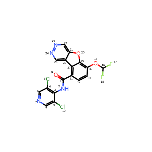 O=C(Nc1c(Cl)cncc1Cl)c1ccc(OC(F)F)c2oc3cnncc3c12